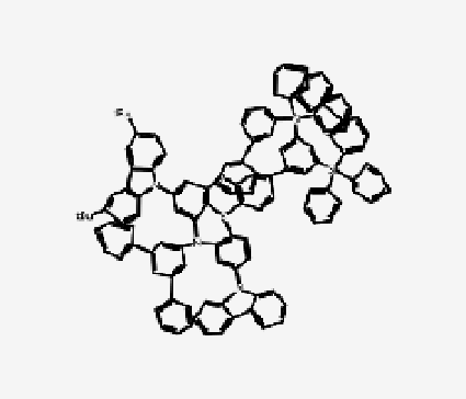 CC(C)(C)c1ccc2c(c1)c1cc(C(C)(C)C)ccc1n2-c1cc2c3c(c1)N(c1cc(-c4ccccc4)cc(-c4ccccc4)c1)c1cc(-n4c5ccccc5c5ccccc54)ccc1B3c1ccc(-c3cc([Si](c4ccccc4)(c4ccccc4)c4cccc(-c5ccccc5)c4)cc([Si](c4ccccc4)(c4ccccc4)c4cccc(-c5ccccc5)c4)c3)cc1O2